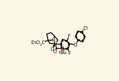 CCOC(=O)C12CCC(CN(C(=O)OC(C)(C)C)C1)N2C(=O)c1cc(F)c(Oc2ccc(Cl)cc2)c(F)c1